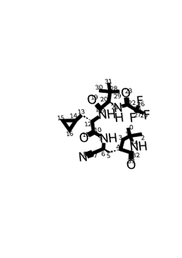 CC1(C)C[C@@H](C[C@@H](C#N)NC(=O)[C@H](CC2CC2)NC(=O)[C@@H](NC(=O)C(F)(F)F)C(C)(C)C)C(=O)N1